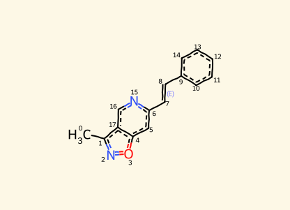 Cc1noc2cc(/C=C/c3ccccc3)ncc12